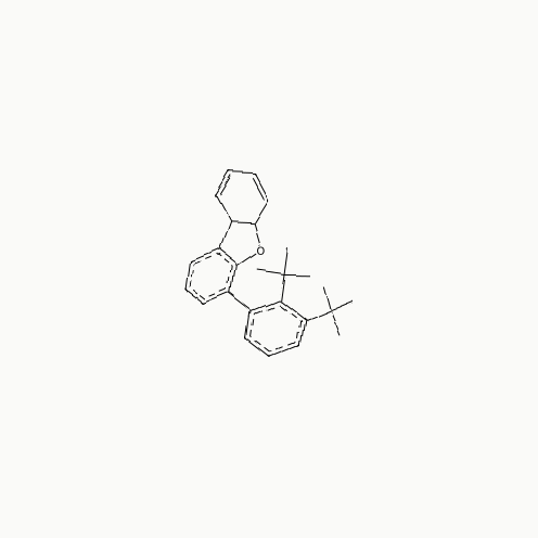 CC(C)(C)c1cccc(-c2cccc3c2OC2C=CC=CC32)c1C(C)(C)C